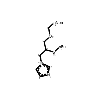 CCCCCCCCCCOCC(Cn1ccnc1)SCCCC